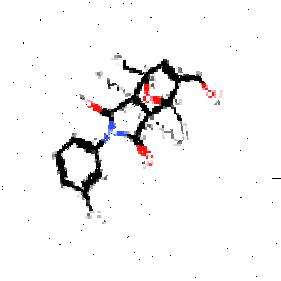 O=C1[C@@H]2[C@H](C(=O)N1c1cccc(C(F)(F)F)c1)[C@@H]1O[C@H]2C=C1CO